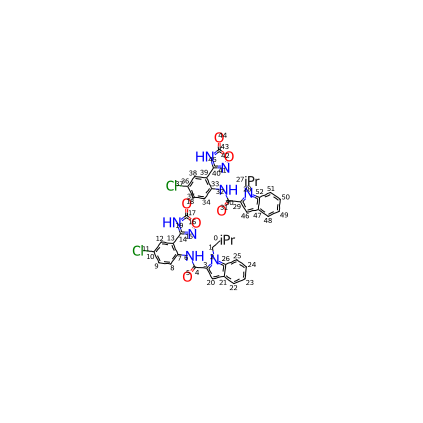 CC(C)Cn1c(C(=O)Nc2ccc(Cl)cc2-c2noc(=O)[nH]2)cc2ccccc21.CC(C)n1c(C(=O)Nc2ccc(Cl)cc2-c2noc(=O)[nH]2)cc2ccccc21